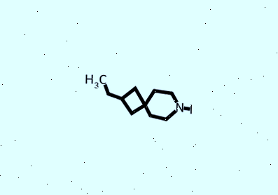 CCC1CC2(CCN(I)CC2)C1